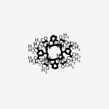 CC(C)(C)C(=O)Nc1cccc(NC(=O)C(C)(C)C)c1-c1c2nc(c(-c3cc(C(C)(C)C)cc(C(C)(C)C)c3)c3ccc([nH]3)c(-c3c(NC(=O)C(C)(C)C)cccc3NC(=O)C(C)(C)C)c3nc(c(-c4cc(C(C)(C)C)cc(C(C)(C)C)c4)c4ccc1[nH]4)C=C3)C=C2